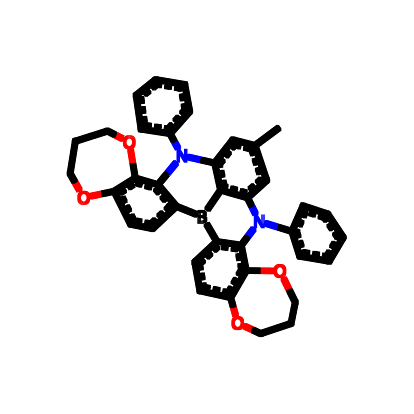 Cc1cc2c3c(c1)N(c1ccccc1)c1c(ccc4c1OCCCO4)B3c1ccc3c(c1N2c1ccccc1)OCCCO3